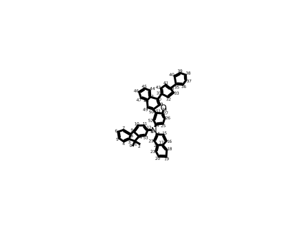 CC1(C)c2ccccc2-c2ccc(N(c3ccc4ccccc4c3)c3ccc4oc5c(-c6ccc(-c7ccccc7)cc6)c6ccccc6cc5c4c3)cc21